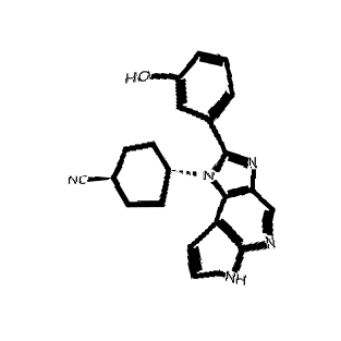 N#C[C@H]1CC[C@H](n2c(-c3cccc(O)c3)nc3cnc4[nH]ccc4c32)CC1